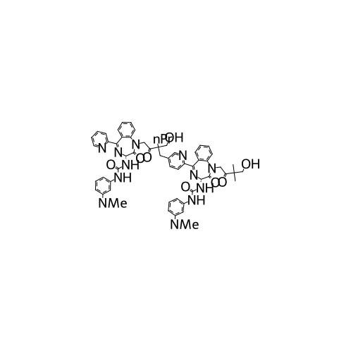 CCCC(CO)(Cc1ccc(C2=N[C@@H](NC(=O)Nc3cccc(NC)c3)C(=O)N(CC(=O)C(C)(C)CO)c3ccccc32)nc1)C(=O)CN1C(=O)[C@H](NC(=O)Nc2cccc(NC)c2)N=C(c2ccccn2)c2ccccc21